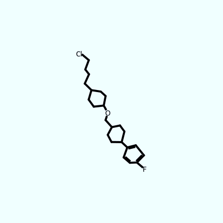 Fc1ccc(C2CCC(COC3CCC(CCCCCl)CC3)CC2)cc1